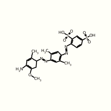 COC1=C(N)C=C(C)C(N=Nc2cc(C)c(N=Nc3ccc(S(=O)(=O)O)cc3S(=O)(=O)O)cc2C)C1